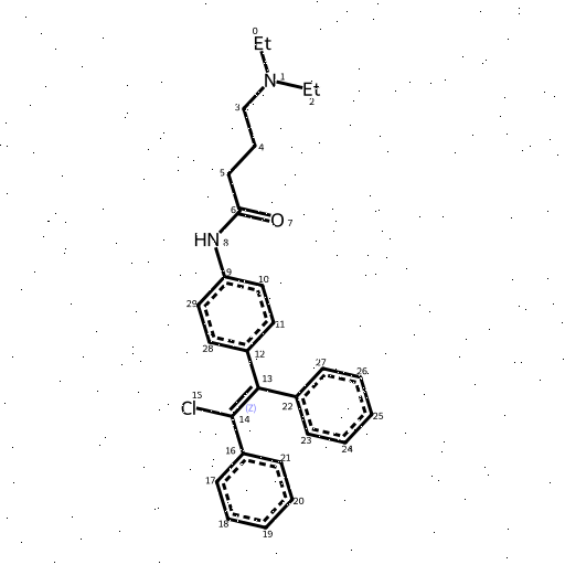 CCN(CC)CCCC(=O)Nc1ccc(/C(=C(\Cl)c2ccccc2)c2ccccc2)cc1